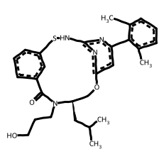 Cc1cccc(C)c1-c1cc2nc(n1)NSc1cccc(c1)C(=O)N(CCCO)[C@H](CC(C)C)CO2